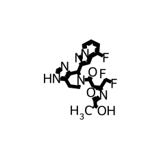 C[C@H](O)c1nc(C(F)F)c(C(=O)N2CCc3[nH]cnc3C2c2cc3c(F)cccn3n2)o1